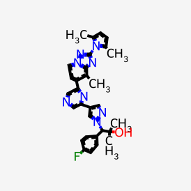 Cc1c(-c2cncc(-c3cnn(C(c4ccc(F)cc4)C(C)(C)O)c3)n2)ccn2nc(-n3c(C)ccc3C)nc12